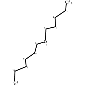 CCCCCOCCCCCS